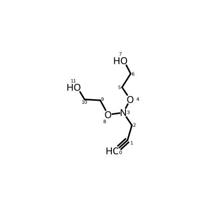 C#CCN(OCCO)OCCO